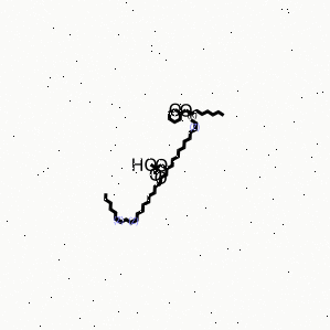 CCCCC/C=C\C/C=C\CCCCCCCCOCC(CCCCCCCC/C=C\C[C@@H](CCCCCC)OC1CCCCO1)OC(=O)O